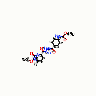 CCCCON1C(=O)N2C[C@@H]1CC[C@H]2C(=O)NNC(=O)[C@H]1CC[C@@H](NC(=O)OC(C)(C)C)CC1